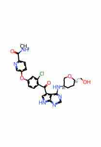 CNC(=O)c1ccc(Oc2ccc(C(=O)c3c[nH]c4ncnc(N[C@@H]5CC[C@@H](CO)OC5)c34)c(Cl)c2)cn1